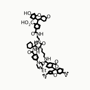 CCN1CCN(c2ccc(C(=O)NC3(C(=O)N[C@@H](CCCCNC(=O)c4ccc5c(c4)C(=O)OC54c5ccc(N(C)C)cc5Oc5cc(N(C)C)ccc54)C(=O)NCCNC(=O)c4ccc(C5=C6CCC(=O)C=C6Oc6cc(O)ccc65)c(C(=O)O)c4)CCCCC3)cc2)CC1